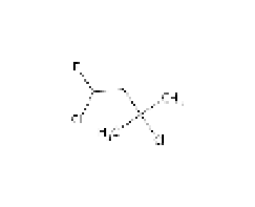 CC(C)(Cl)CC(F)Cl